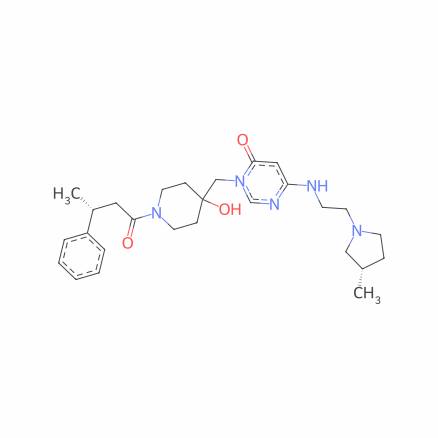 C[C@H]1CCN(CCNc2cc(=O)n(CC3(O)CCN(C(=O)C[C@@H](C)c4ccccc4)CC3)cn2)C1